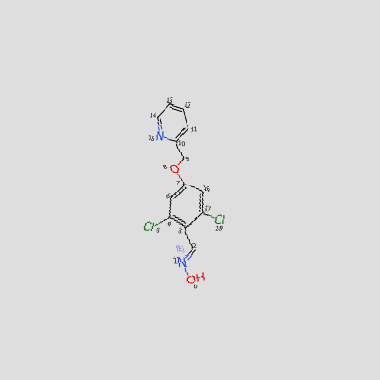 O/N=C/c1c(Cl)cc(OCc2ccccn2)cc1Cl